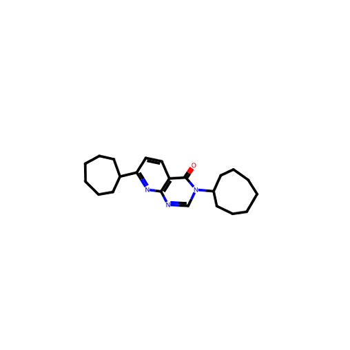 O=c1c2ccc(C3CCCCCC3)nc2ncn1C1CCCCCCC1